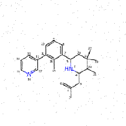 C=C(C)CC1NC(c2cccc(-c3cccnc3)c2C)CC(C)(C)C1C